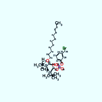 CCCCCCCCCCCCOc1cc(OP(=O)(O)Oc2cccc(CBr)c2)c(C(C)(C)C)cc1C(C)(C)C